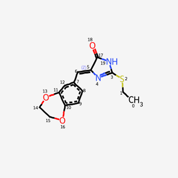 CCSC1=N/C(=C\c2ccc3c(c2)OCCO3)C(=O)N1